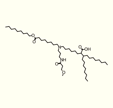 CCCCCCCCCOC(=O)CCCCCCCN(CCCCCCC(C(=O)O)C(CCCCCCCC)CCCCCCCC)CCCNC(=O)CCOC